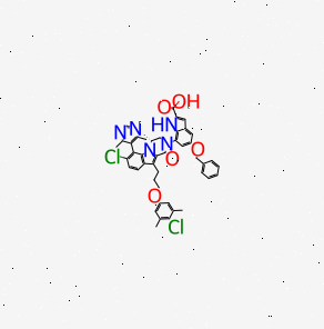 Cc1cc(OCCCc2c3n(c4c(-c5c(C)ncnc5C)c(Cl)ccc24)[C@H](C)CN(c2cc(OCc4ccccc4)cc4cc(C(=O)O)[nH]c24)C3=O)cc(C)c1Cl